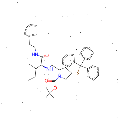 CCC(C)[C@H](NCC1CC(SC(c2ccccc2)(c2ccccc2)c2ccccc2)CN1C(=O)OC(C)(C)C)C(=O)NCCc1ccccc1